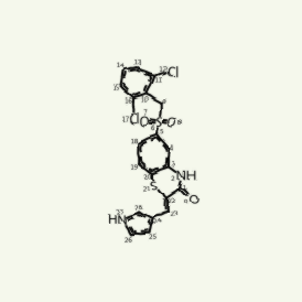 O=C1Nc2cc(S(=O)(=O)Cc3c(Cl)cccc3Cl)ccc2S/C1=C\c1cc[nH]c1